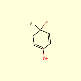 CC(=O)C1(Br)C=CC(O)=CC1